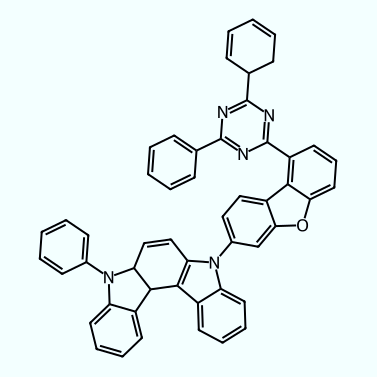 C1=CCC(c2nc(-c3ccccc3)nc(-c3cccc4oc5cc(-n6c7c(c8ccccc86)C6c8ccccc8N(c8ccccc8)C6C=C7)ccc5c34)n2)C=C1